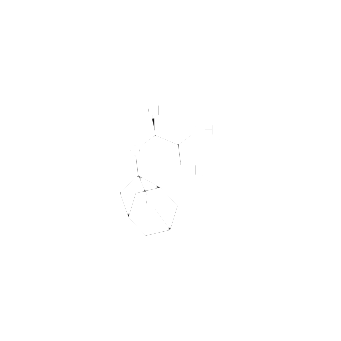 CC(C)[C@H](C)OC12CC3CC(CC1C3)C2